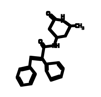 CC1CC(NC(=O)C(=Cc2ccccc2)c2ccccc2)CC(=O)N1